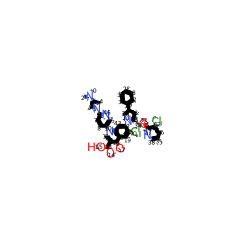 CN(C)C1CN(c2ccc(-n3cc(C(=O)O)c(=O)c4cc(Cl)c(N5CC(c6ccccc6)C[C@@H]5COc5ncccc5Cl)cc43)cn2)C1